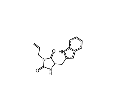 C=CCN1C(=O)NC(Cc2cc3ccccc3[nH]2)C1=O